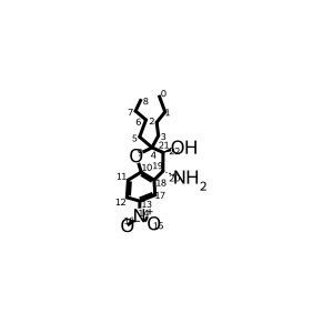 CCCCC1(CCCC)Oc2ccc([N+](=O)[O-])cc2[C@@H](N)[C@@H]1O